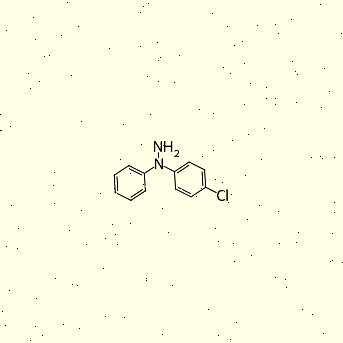 NN(c1ccccc1)c1ccc(Cl)cc1